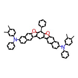 Cc1ccc(N(c2ccccc2)c2ccc3cc4c(cc3c2)oc2c(-c3ccccc3)c3oc5cc6cc(N(c7ccccc7)c7ccc(C)c(C)c7)ccc6cc5c3cc24)cc1C